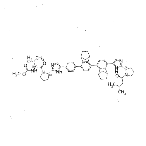 COC(=O)N[C@H](C(=O)N1CCC[C@H]1c1ncc(-c2ccc(-c3ccc(-c4ccc(-c5cnc([C@@H]6CCCN6C(=O)CC(C)C)[nH]5)c5c4C4CCC5C4)c4c3C3CCC4C3)cc2)[nH]1)C(C)C